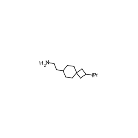 CC(C)C1CC2(CCC(CCN)CC2)C1